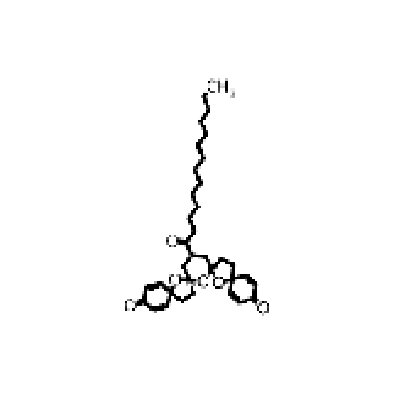 CCCCCCCCCCCCCC(=O)C1CC2(CCC3(C=CC(=O)C=C3)O2)O[C@@]2(CCC3(C=CC(=O)C=C3)O2)C1